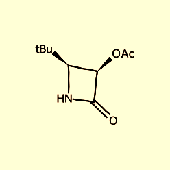 CC(=O)O[C@H]1C(=O)N[C@H]1C(C)(C)C